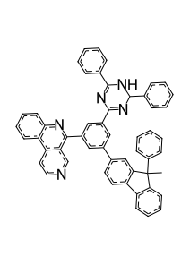 CC1(c2ccccc2)c2ccccc2-c2ccc(-c3cc(C4=NC(c5ccccc5)NC(c5ccccc5)=N4)cc(-c4nc5ccccc5c5ccncc45)c3)cc21